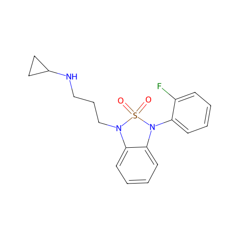 O=S1(=O)N(CCCNC2CC2)c2ccccc2N1c1ccccc1F